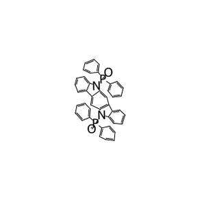 O=P(c1ccccc1)(c1ccccc1)n1c2ccccc2c2cc3c(cc21)c1ccccc1n3P(=O)(c1ccccc1)c1ccccc1